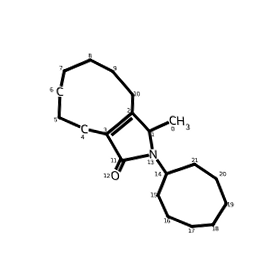 CC1C2=C(CCCCCCC2)C(=O)N1C1CCCCCCC1